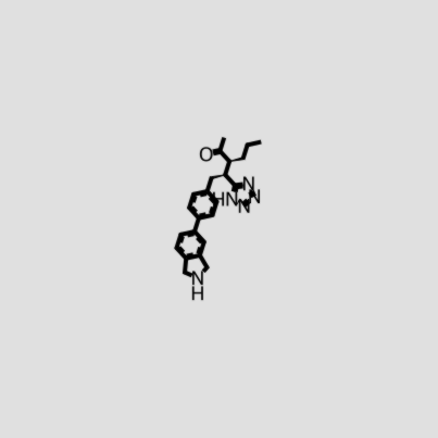 CCC[C@H](C(C)=O)[C@H](Cc1ccc(-c2ccc3c(c2)CNC3)cc1)c1nnn[nH]1